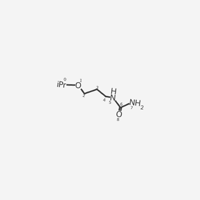 CC(C)OCCCNC(N)=O